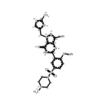 CCCOc1ccc(S(=O)(=O)N2CCN(C)CC2)cc1-c1nc2c(CCC)nn(Cc3csc(C)n3)c2c(=O)[nH]1